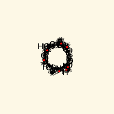 CC[C@H](C)C1CC(=O)N[C@H](C(=O)N2CCCCC2)CC(=O)N(C)C[C@@H](C)CC(=O)CN(C)[C@@H](CC(C)C)C(=O)N(C)C[C@@H](Cc2ccccc2)CC(=O)N[C@@H]([C@@H](C)O)CC(=O)N(C)CC(=O)CN(C)C[C@@H](CC(C)C)CC(=O)NC[C@@H](COC(C)(C)C)C(=O)N1C